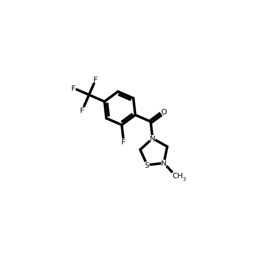 CN1CN(C(=O)c2ccc(C(F)(F)F)cc2F)CS1